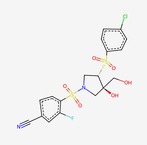 N#Cc1ccc(S(=O)(=O)N2C[C@H](S(=O)(=O)c3ccc(Cl)cc3)[C@](O)(CO)C2)c(F)c1